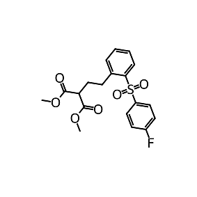 COC(=O)C(CCc1ccccc1S(=O)(=O)c1ccc(F)cc1)C(=O)OC